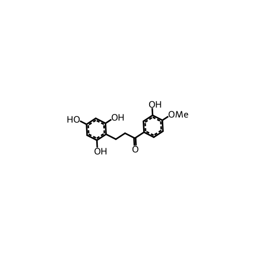 COc1ccc(C(=O)CCc2c(O)cc(O)cc2O)cc1O